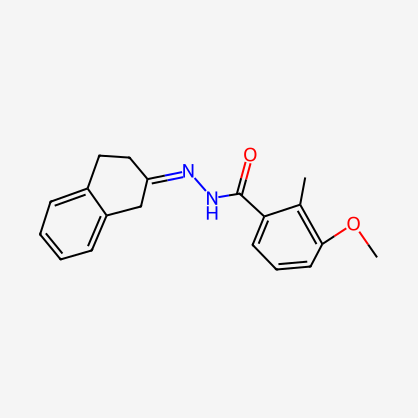 COc1cccc(C(=O)NN=C2CCc3ccccc3C2)c1C